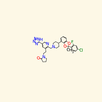 CC1(c2ccc(Cl)cc2F)Oc2cccc(C3CCN(Cc4ncc(-c5nnn[nH]5)cc4CCN4CCCC4=O)CC3)c2O1